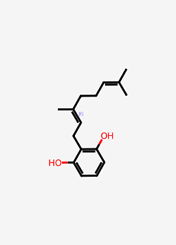 CC(C)=CCC/C(C)=C/Cc1c(O)cccc1O